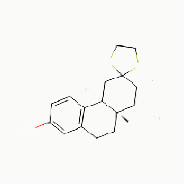 CCCC[C@@H]1[C@@H]2CCc3cc(O)ccc3[C@H]2CC2(SCCS2)[C@@H]1C